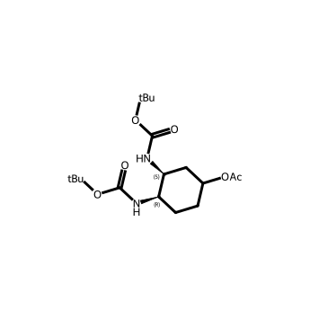 CC(=O)OC1CC[C@@H](NC(=O)OC(C)(C)C)[C@@H](NC(=O)OC(C)(C)C)C1